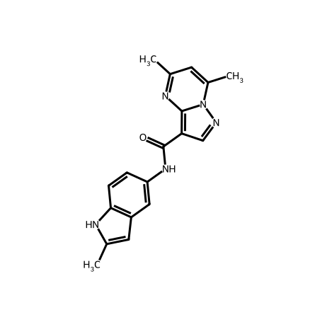 Cc1cc(C)n2ncc(C(=O)Nc3ccc4[nH]c(C)cc4c3)c2n1